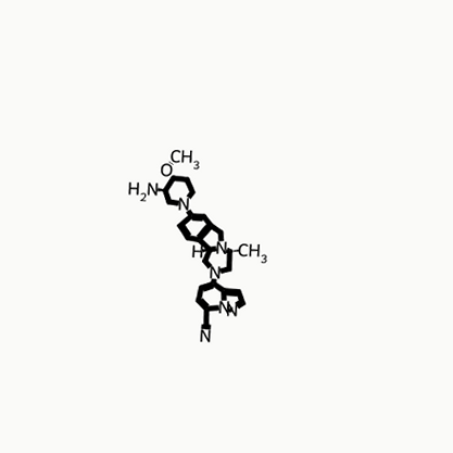 CO[C@H]1CCN(c2ccc3c(c2)CN2[C@H](C)CN(c4ccc(C#N)n5nccc45)C[C@H]32)C[C@H]1N